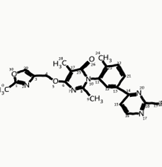 Cc1nc(COc2nc(C)n(-c3cc(-c4ccnc(C(C)C)n4)ccc3C)c(=O)c2C)co1